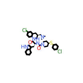 CN(C)C[C@@H]1Cc2cc(Cl)ccc2N(C(=O)[C@@H](Cc2c[nH]c3ccccc23)NC(=O)N2CCC(Sc3ccc(Cl)cc3)CC2)C1